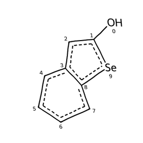 Oc1cc2ccccc2[se]1